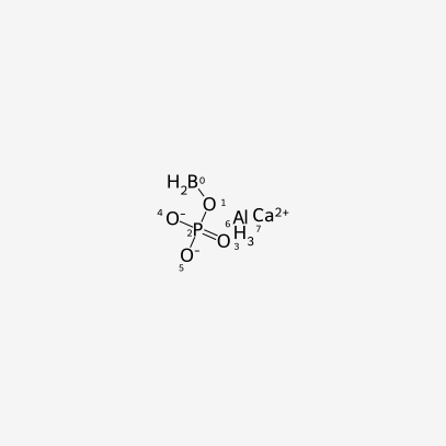 BOP(=O)([O-])[O-].[AlH3].[Ca+2]